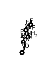 CCC(c1ncnc(N)c1/C(=N\C)c1ccc(Oc2c(F)c(F)cc(F)c2F)cc1F)C1CCN(C(=O)/C=C/c2ccccc2)C1